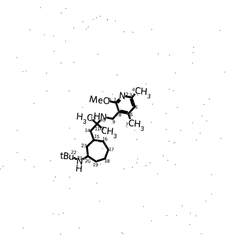 COc1nc(C)cc(C)c1CNC(C)(C)CC1CCCCC(NC(C)(C)C)C1